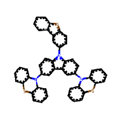 c1ccc2c(c1)Sc1ccccc1N2c1ccc2c(c1)c1cc(N3c4ccccc4Sc4ccccc43)ccc1n2-c1ccc2sc3ccccc3c2c1